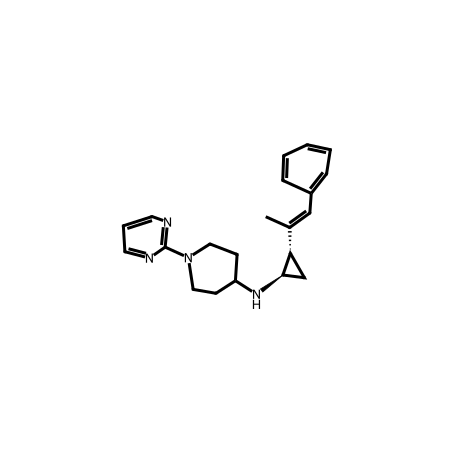 C/C(=C\c1ccccc1)[C@@H]1C[C@H]1NC1CCN(c2ncccn2)CC1